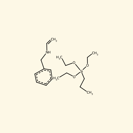 C=CNCc1ccccc1.CCC[Si](OCC)(OCC)OCC